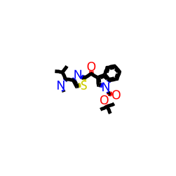 C/N=C(\c1csc(C(=O)c2cn(C(=O)OC(C)(C)C)c3ccccc23)n1)C(C)C